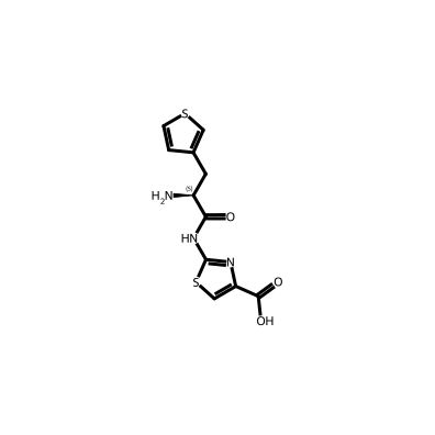 N[C@@H](Cc1ccsc1)C(=O)Nc1nc(C(=O)O)cs1